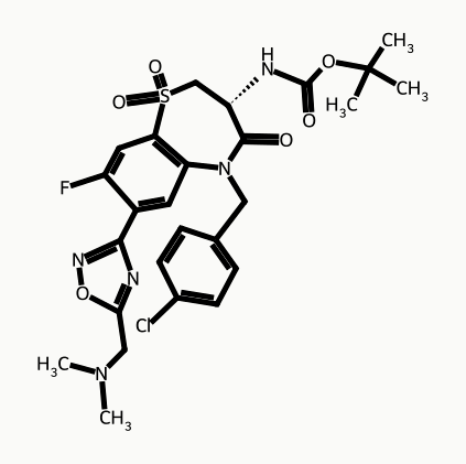 CN(C)Cc1nc(-c2cc3c(cc2F)S(=O)(=O)C[C@H](NC(=O)OC(C)(C)C)C(=O)N3Cc2ccc(Cl)cc2)no1